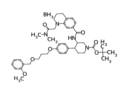 B.COc1ccccc1COCCCOc1ccc(C2CCN(C(=O)OC(C)(C)C)CC2NC(=O)c2ccc3c(c2)N(CC(=O)N(C)C)CCC3)cc1